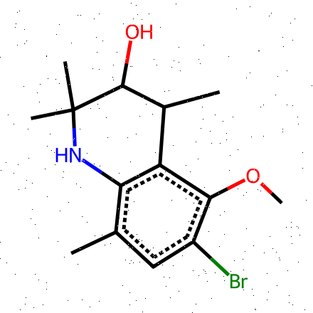 COc1c(Br)cc(C)c2c1C(C)C(O)C(C)(C)N2